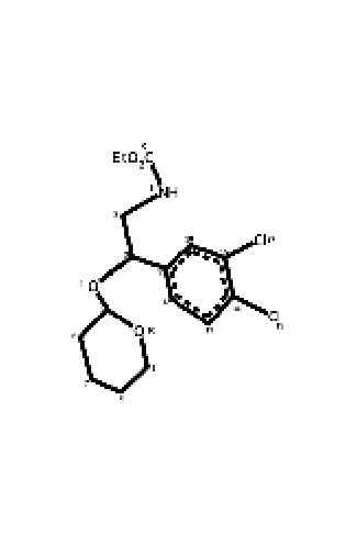 CCOC(=O)NCC(OC1CCCCO1)c1ccc(Cl)c(Cl)c1